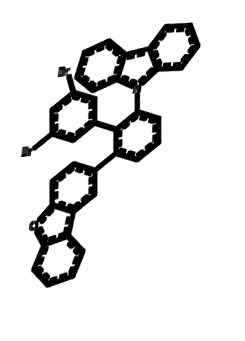 Brc1cc(Br)cc(-c2c(-c3ccc4oc5ccccc5c4c3)cccc2-n2c3ccccc3c3ccccc32)c1